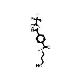 O=C(NCCCO)c1ccc(-c2noc(C(F)(F)F)n2)cc1